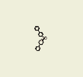 [O-][S+](c1ccc(-c2ccccc2)cc1)N1CCC(C2C=CCC=C2)CC1